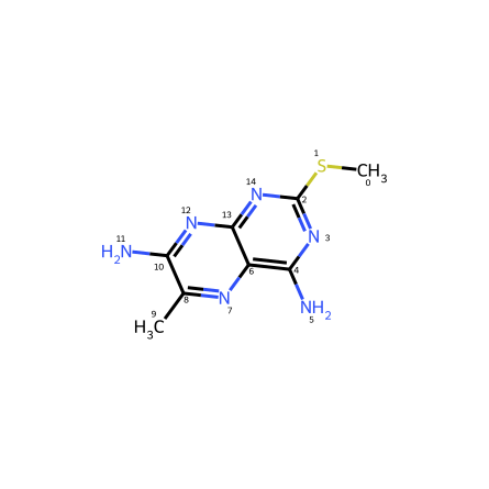 CSc1nc(N)c2nc(C)c(N)nc2n1